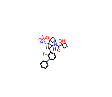 CS(=O)(=O)N[C@H]1C2CC(C2)N(C(=O)C2(O)CCC2)[C@H]1Cc1cccc(-c2ccccc2)c1F